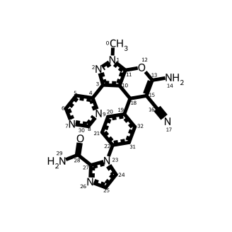 Cn1nc(-c2ccncn2)c2c1OC(N)=C(C#N)C2c1ccc(-n2ccnc2C(N)=O)cc1